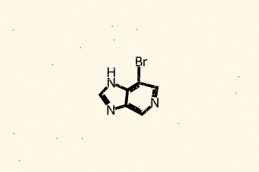 Brc1cncc2nc[nH]c12